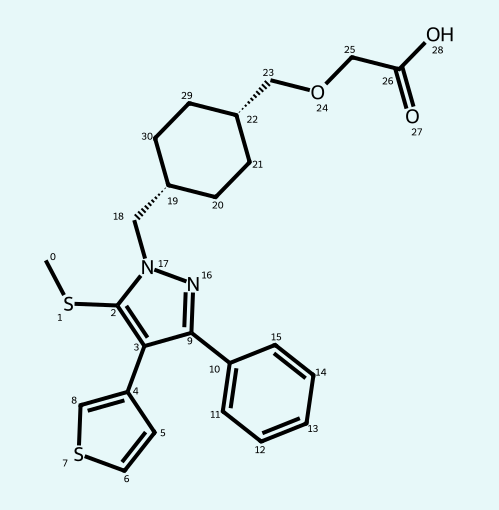 CSc1c(-c2ccsc2)c(-c2ccccc2)nn1C[C@H]1CC[C@@H](COCC(=O)O)CC1